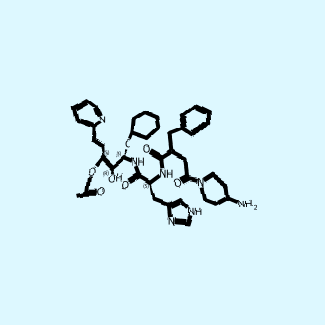 CC(=O)O[C@@H](CCc1ccccn1)[C@H](O)[C@H](CC1CCCCC1)NC(=O)[C@H](Cc1c[nH]cn1)NC(=O)C(CC(=O)N1CCC(N)CC1)Cc1ccccc1